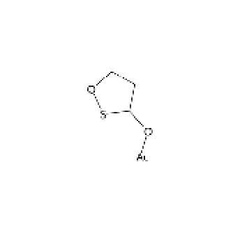 CC(=O)OC1CCOS1